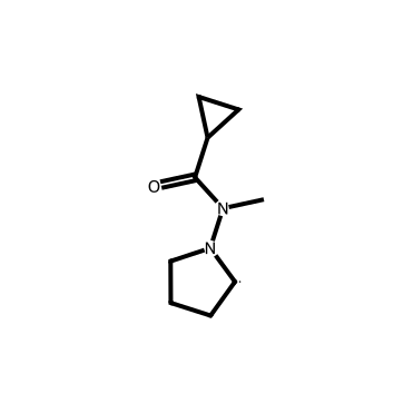 CN(C(=O)C1CC1)N1[CH]CCC1